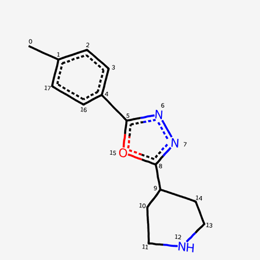 Cc1ccc(-c2nnc(C3CCNCC3)o2)cc1